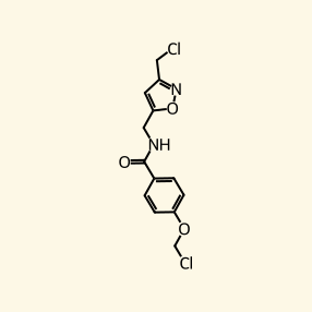 O=C(NCc1cc(CCl)no1)c1ccc(OCCl)cc1